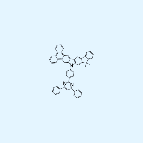 CC1(C)c2ccccc2-c2cc3c4cc5c6ccccc6c6ccccc6c5cc4n(-c4ccc(-c5nc(-c6ccccc6)cc(-c6ccccc6)n5)cc4)c3cc21